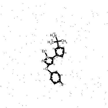 CCn1nc(Oc2ccc(F)cc2)cc1-c1cccc(C(C)(C)N)c1